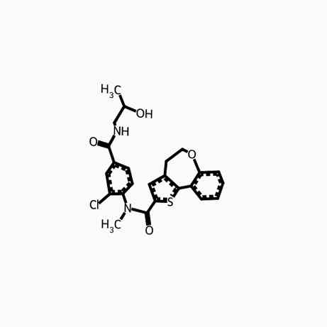 CC(O)CNC(=O)c1ccc(N(C)C(=O)c2cc3c(s2)-c2ccccc2OCC3)c(Cl)c1